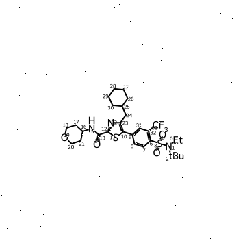 CCN(C(C)(C)C)S(=O)(=O)c1ccc(-c2sc(C(=O)NC3CCOCC3)nc2CC2CCCCC2)cc1C(F)(F)F